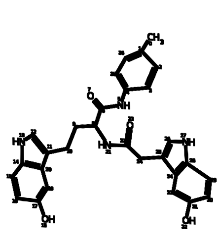 Cc1ccc(NC(=O)C(CCc2c[nH]c3ccc(O)cc23)NC(=O)Cc2c[nH]c3ccc(O)cc23)cc1